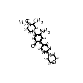 CC1CN(c2cc(Cl)c(-c3cnc(N4CCOCC4)nc3)cc2N)CCN1C